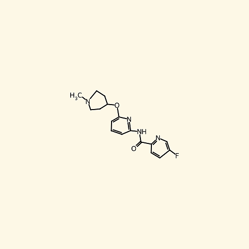 CN1CCC(Oc2cccc(NC(=O)c3ccc(F)cn3)n2)CC1